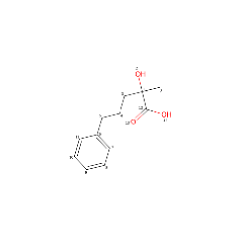 CC(O)(CCCc1ccccc1)C(=O)O